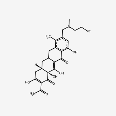 CC(C)CCN(C)Cc1cc(O)c2c(c1C(F)(F)F)CC1C[C@H]3CC(O)=C(C(N)=O)C(=O)[C@@]3(O)C(O)=C1C2=O